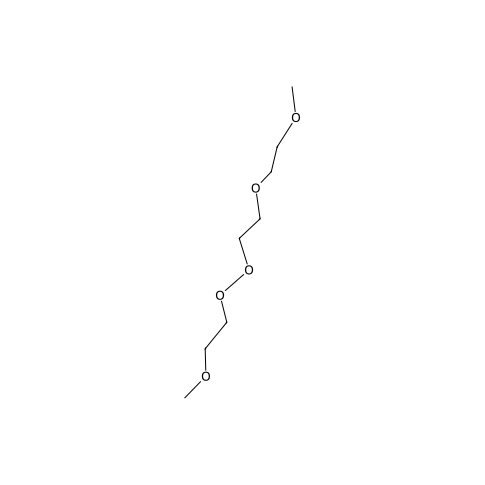 COCCOCCOOCCOC